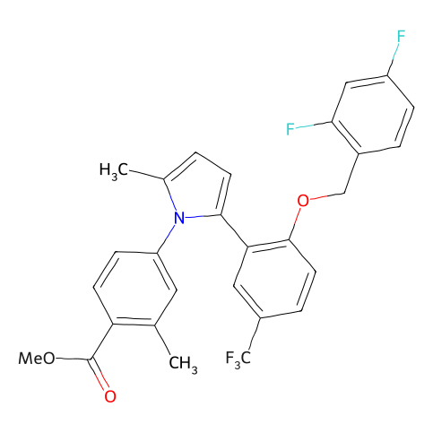 COC(=O)c1ccc(-n2c(C)ccc2-c2cc(C(F)(F)F)ccc2OCc2ccc(F)cc2F)cc1C